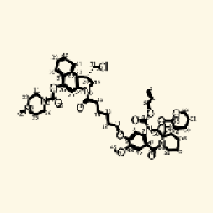 C=CCOC(=O)N1c2cc(OCCCCCC(=O)N3C[C@@H](CCl)c4c3cc(OC(=O)N3CCN(C)CC3)c3ccccc43)c(OC)cc2C(=O)N2CCCC[C@H]2[C@@H]1OC1CCCCO1